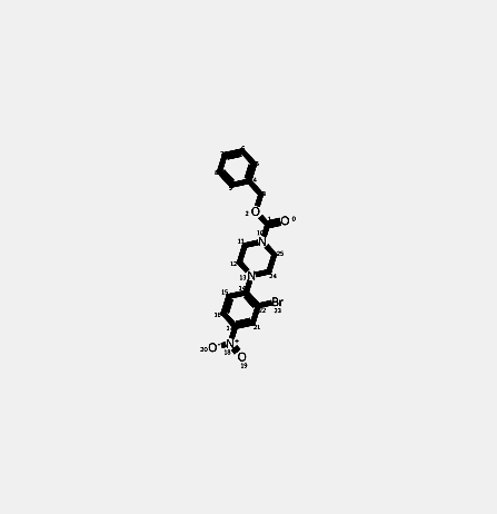 O=C(OCc1ccccc1)N1CCN(c2ccc([N+](=O)[O-])cc2Br)CC1